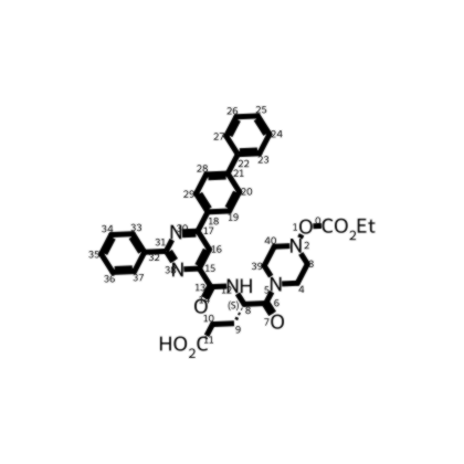 CCOC(=O)ON1CCN(C(=O)[C@H](CCC(=O)O)NC(=O)c2cc(-c3ccc(-c4ccccc4)cc3)nc(-c3ccccc3)n2)CC1